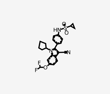 N#Cc1c(-c2ccc(NS(=O)(=O)C3CC3)cc2)n(C2CCCC2)c2cc(OC(F)F)ccc12